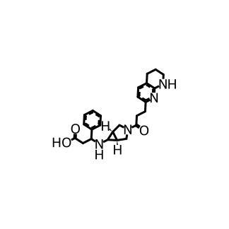 O=C(O)CC(NC1[C@H]2CN(C(=O)CCc3ccc4c(n3)NCCC4)C[C@@H]12)c1ccccc1